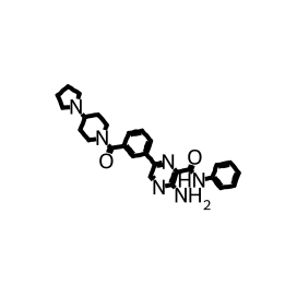 Nc1ncc(-c2cccc(C(=O)N3CCC(N4CCCC4)CC3)c2)nc1C(=O)Nc1ccccc1